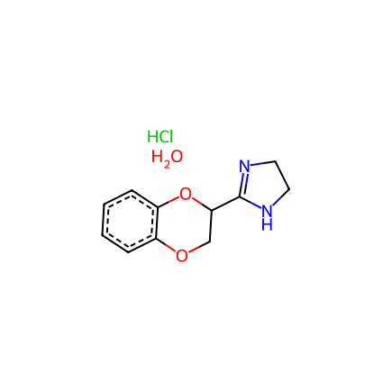 Cl.O.c1ccc2c(c1)OCC(C1=NCCN1)O2